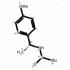 COc1ccc([C@@H](C)N[S+]([O-])C(C)(C)C)nc1